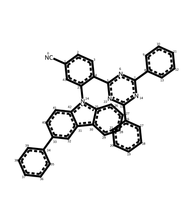 N#Cc1ccc(-c2nc(-c3ccccc3)nc(-c3ccccc3)n2)c(-n2c3ccccc3c3cc(-c4ccccc4)ccc32)c1